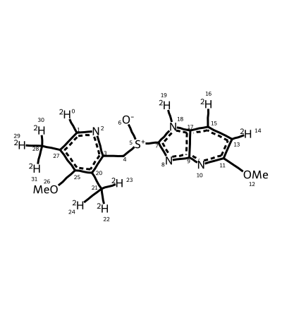 [2H]c1nc(C[S+]([O-])c2nc3nc(OC)c([2H])c([2H])c3n2[2H])c(C([2H])([2H])[2H])c(OC)c1C([2H])([2H])[2H]